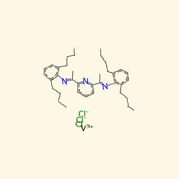 CCCCc1cccc(CCCC)c1N=C(C)c1cccc(C(C)=Nc2c(CCCC)cccc2CCCC)n1.[Cl-].[Cl-].[Cl-].[V+3]